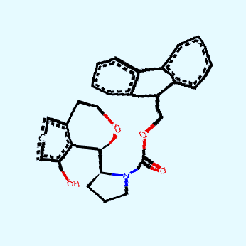 O=C(OCC1c2ccccc2-c2ccccc21)N1CCC[C@H]1[C@@H]1OCCc2cccc(O)c21